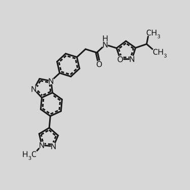 CC(C)c1cc(NC(=O)Cc2ccc(-n3cnc4cc(-c5cnn(C)c5)ccc43)cc2)on1